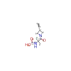 C#CC1CN(C(=O)C(C)(C)NC(=O)O)C1